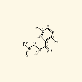 Cc1ccc(F)c(C(=O)N(C)CC(F)F)c1